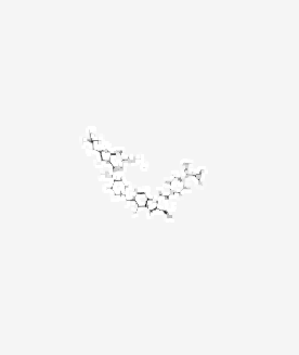 Cc1c(CN2CCC(Nc3nc(N)nc4sc(CC(F)(F)F)cc34)CC2)ccc2c1cc(C#N)n2C[C@H](C)N1CCN([S+]([O-])C2CC2)CC1